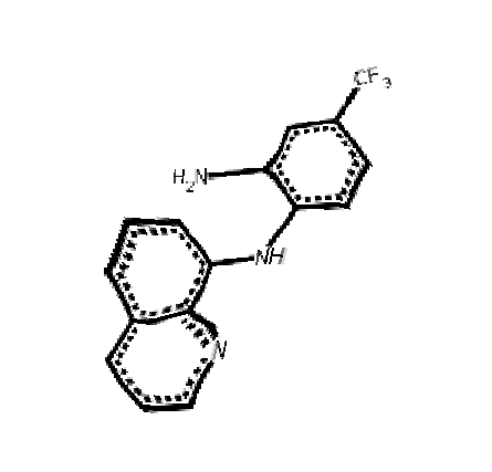 Nc1cc(C(F)(F)F)ccc1Nc1cccc2cccnc12